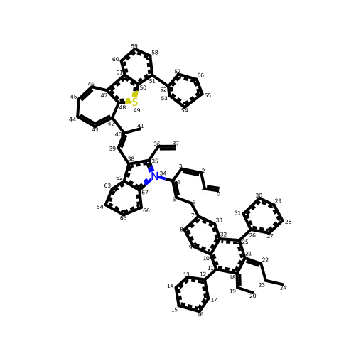 C=C/C=C\C(=C/Cc1ccc2c(-c3ccccc3)c(=C/C)/c(=C\CC)c(-c3ccccc3)c2c1)n1c(C=C)c(/C=C(\C)C2=C=CC=Cc3c2sc2c(-c4ccccc4)cccc32)c2ccccc21